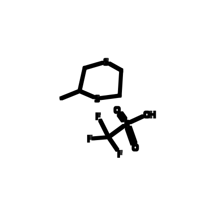 CC1CSCCS1.O=S(=O)(O)C(F)(F)F